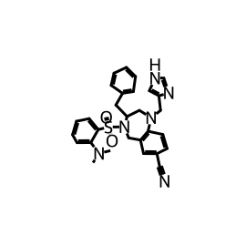 CN(C)c1ccccc1S(=O)(=O)N1Cc2cc(C#N)ccc2N(Cc2c[nH]cn2)CC1Cc1ccccc1